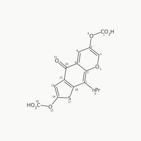 CCCc1c2occ(OC(=O)O)cc-2c(=O)c2cc(OC(=O)O)sc12